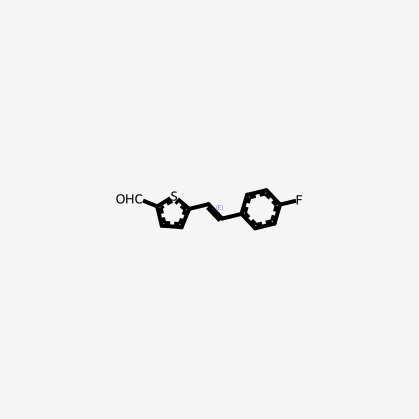 O=Cc1ccc(/C=C/c2ccc(F)cc2)s1